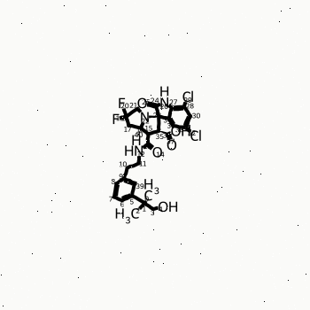 CC(C)(CO)c1cccc(CCNC(=O)C2[C@H]3CC(F)(F)CN3[C@]3(C(=O)Nc4c(Cl)cc(Cl)cc43)[C@H]2C(=O)O)c1